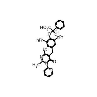 CCCc1cc(Cc2c(CC)nc(C)n(-c3ccccn3)c2=O)cc(CCC)c1OC(C)(C(=O)O)c1ccccc1